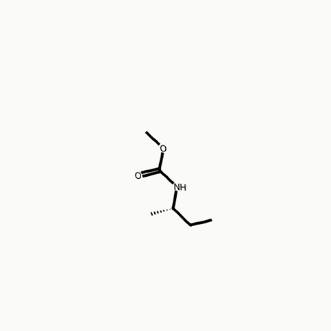 CC[C@H](C)NC(=O)OC